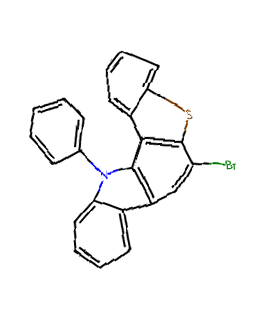 Brc1cc2c3ccccc3n(-c3ccccc3)c2c2c1sc1ccccc12